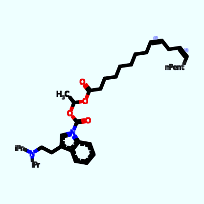 CCCCC/C=C\C/C=C\CCCCCCCC(=O)OC(C)OC(=O)n1cc(CCN(C(C)C)C(C)C)c2ccccc21